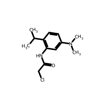 CC(C)c1ccc(N(C)C)cc1NC(=O)CCl